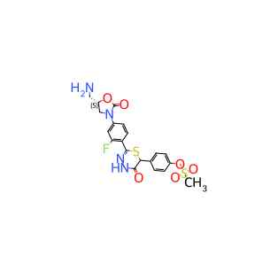 CS(=O)(=O)Oc1ccc(C2SC(c3ccc(N4C[C@H](CN)OC4=O)cc3F)=NNC2=O)cc1